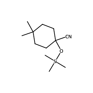 CC1(C)CCC(C#N)(O[Si](C)(C)C)CC1